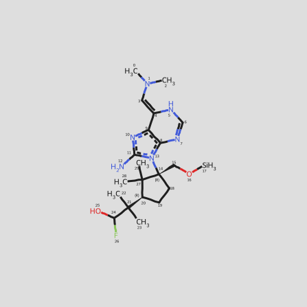 CN(C)C=C1NC=Nc2c1nc(N)n2[C@]1(CO[SiH3])CC[C@@H](C(C)(C)C(O)F)C1(C)C